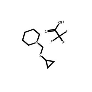 C1CCN(CSC2CC2)CC1.O=C(O)C(F)(F)F